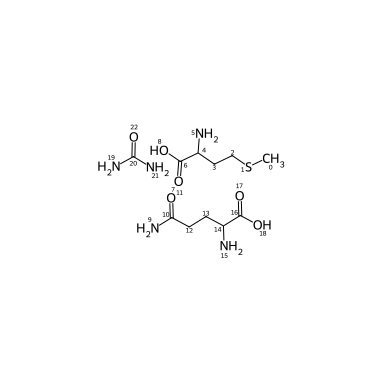 CSCCC(N)C(=O)O.NC(=O)CCC(N)C(=O)O.NC(N)=O